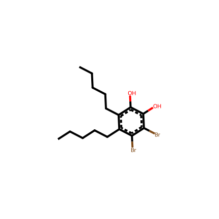 CCCCCc1c(O)c(O)c(Br)c(Br)c1CCCCC